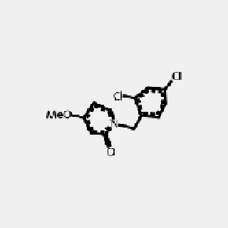 COc1ccn(Cc2ccc(Cl)cc2Cl)c(=O)c1